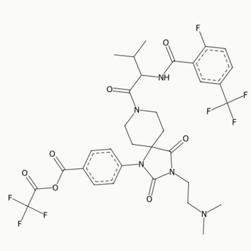 CC(C)C(NC(=O)c1cc(C(F)(F)F)ccc1F)C(=O)N1CCC2(CC1)C(=O)N(CCN(C)C)C(=O)N2c1ccc(C(=O)OC(=O)C(F)(F)F)cc1